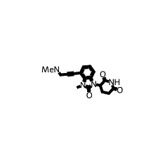 CNCC#Cc1cccc2c1n(C)c(=O)n2C1CCC(=O)NC1=O